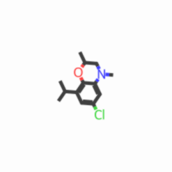 CC1CN(C)c2cc(Cl)cc(C(C)C)c2O1